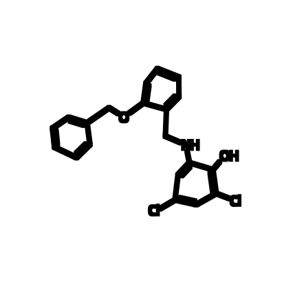 Oc1c(Cl)cc(Cl)cc1NCc1ccccc1OCc1ccccc1